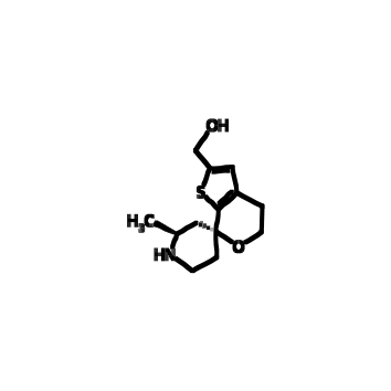 C[C@H]1C[C@@]2(CCN1)OCCc1cc(CO)sc12